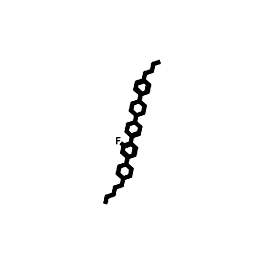 CCCCCC1CCC(c2ccc(C3=CCC(C4CCC(c5ccc(CCCC)cc5)CC4)CC3)c(F)c2)CC1